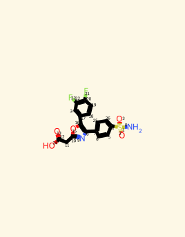 NS(=O)(=O)c1ccc(-c2nc(CC(=O)O)oc2-c2ccc(F)c(F)c2)cc1